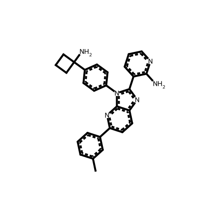 Cc1cccc(-c2ccc3nc(-c4cccnc4N)n(-c4ccc(C5(N)CCC5)cc4)c3n2)c1